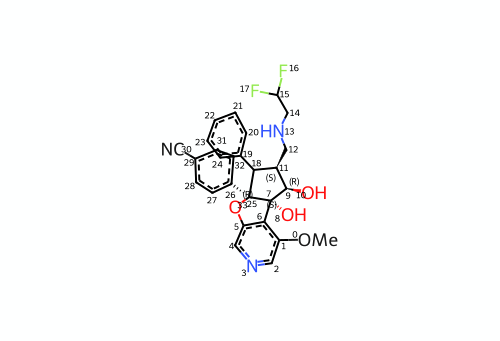 COc1cncc2c1[C@]1(O)[C@H](O)[C@H](CNCC(F)F)C(c3ccccc3)[C@]1(c1ccc(C#N)cc1)O2